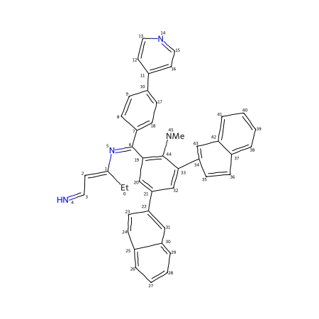 CCC(=C\C=N)/N=C(/c1ccc(-c2ccncc2)cc1)c1cc(-c2ccc3ccccc3c2)cc(-c2ccc3ccccc3c2)c1NC